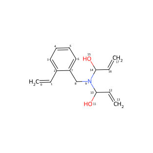 C=Cc1ccccc1CN(C(O)C=C)C(O)C=C